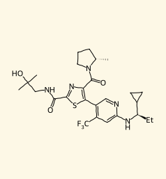 CC[C@@H](Nc1cc(C(F)(F)F)c(-c2sc(C(=O)NCC(C)(C)O)nc2C(=O)N2CCC[C@@H]2C)cn1)C1CC1